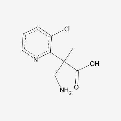 CC(CN)(C(=O)O)c1ncccc1Cl